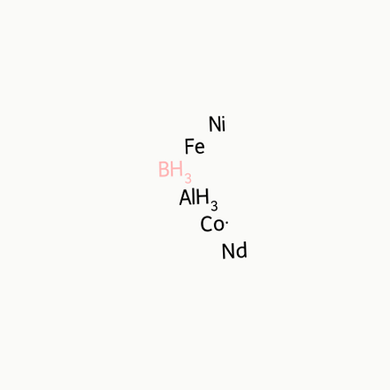 B.[AlH3].[Co].[Fe].[Nd].[Ni]